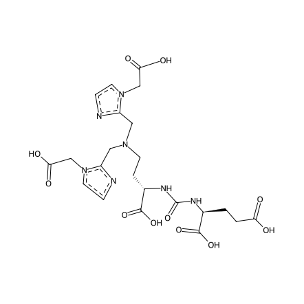 O=C(O)CC[C@H](NC(=O)N[C@@H](CCN(Cc1nccn1CC(=O)O)Cc1nccn1CC(=O)O)C(=O)O)C(=O)O